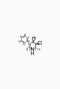 Cc1[nH]c(C)c(-c2ccccc2)c(=O)c1Cl